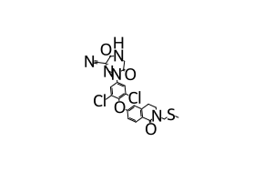 CSCN1CCc2cc(Oc3c(Cl)cc(N4N=C(C#N)C(=O)NCC4=O)cc3Cl)ccc2C1=O